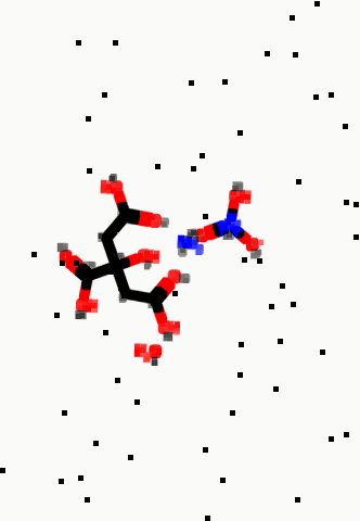 N.O.O=C(O)CC(O)(CC(=O)O)C(=O)O.O=[N+]([O-])O